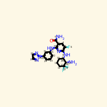 NC(=O)c1cc(F)c(N[C@@H]2CCCC(F)(F)[C@@H]2N)nc1Nc1cccc(-n2nccn2)c1